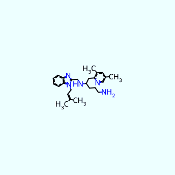 CC(C)=CCn1c(CNC(CCCN)Cc2ncc(C)cc2C)nc2ccccc21